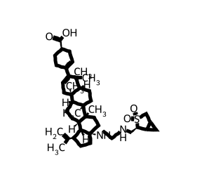 C=C(C)[C@@H]1CC[C@]2(NCCNC[C@@H]3C4CC4CS3(=O)=O)CC[C@]3(C)[C@H](CC[C@@H]4[C@@]5(C)CC=C(C6=CC[C@H](C(=O)O)CC6)C(C)(C)[C@@H]5CC[C@]43C)[C@@H]12